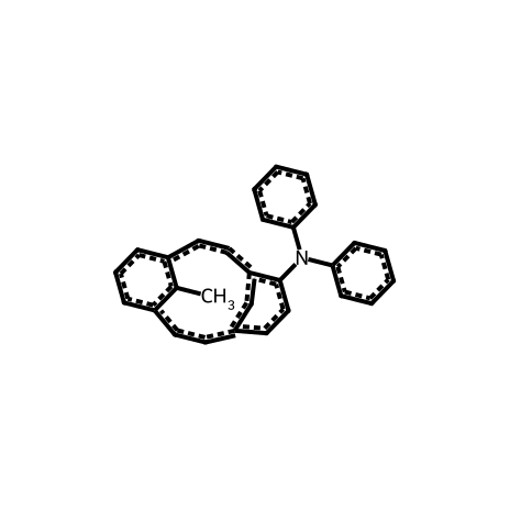 Cc1c2cccc1ccc1cc(ccc1N(c1ccccc1)c1ccccc1)cc2